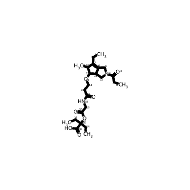 CCC(=O)N1CC2=C(CC)C(C)C(OCCC(=O)NCC(=O)OC(CC)(CC)C(=O)O)C2C1